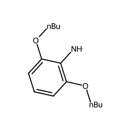 CCCCOc1cccc(OCCCC)c1[NH]